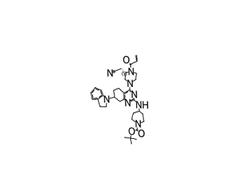 C=CC(=O)N1CCN(c2nc(NC3CCN(C(=O)OC(C)(C)C)CC3)nc3c2CCC(N2CCc4ccccc42)C3)C[C@@H]1CC#N